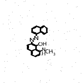 CNc1cccc2ccc(N=Nc3cccc4ccccc34)c(O)c12